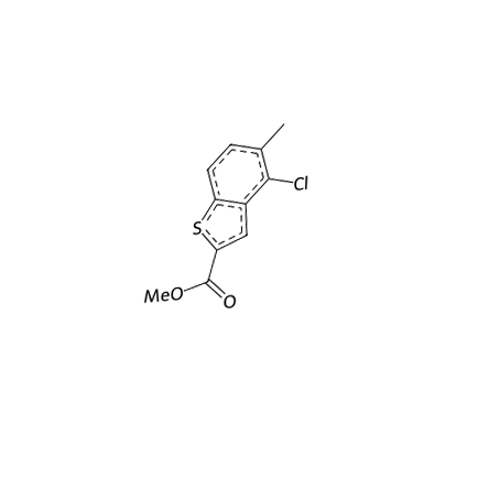 COC(=O)c1cc2c(Cl)c(C)ccc2s1